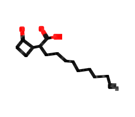 CCCCCCCCCC(C(=O)O)C1CCC1=O